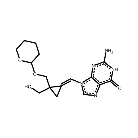 Nc1nc2c(ncn2C=C2CC2(CO)COC2CCCCO2)c(=O)[nH]1